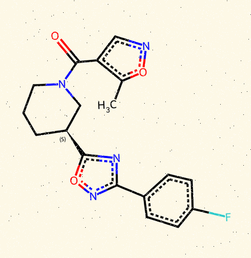 Cc1oncc1C(=O)N1CCC[C@H](c2nc(-c3ccc(F)cc3)no2)C1